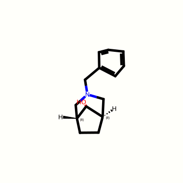 OC1[C@@H]2CC[C@@H]1CN(Cc1ccccc1)C2